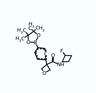 CC1(C)OB(c2ccc(C3(C(=O)N[C@H]4CCC4F)COC3)cc2)OC1(C)C